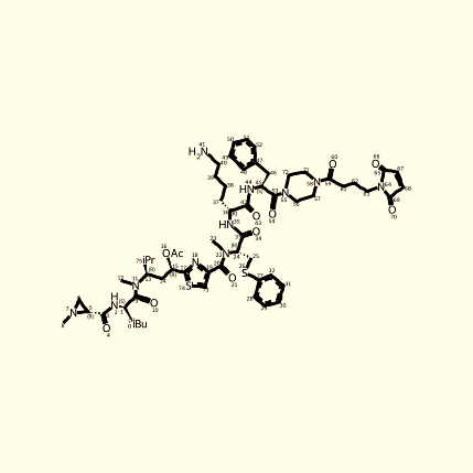 CC[C@H](C)[C@H](NC(=O)[C@H]1CN1C)C(=O)N(C)[C@H](C[C@@H](OC(C)=O)c1nc(C(=O)N(C)[C@@H](CSc2ccccc2)C(=O)N[C@H](CCCCN)C(=O)N[C@@H](Cc2ccccc2)C(=O)N2CCN(C(=O)CCCN3C(=O)C=CC3=O)CC2)cs1)C(C)C